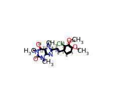 COc1ccc(/C=C/c2nc3c(c(=O)n(C)c(=O)n3C)n2C)c(Cl)c1OC